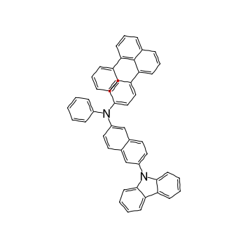 c1ccc(-c2cccc3cccc(-c4ccc(N(c5ccccc5)c5ccc6cc(-n7c8ccccc8c8ccccc87)ccc6c5)cc4)c23)cc1